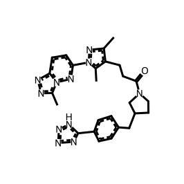 Cc1nn(-c2ccc3nnc(C)n3n2)c(C)c1CCC(=O)N1CCC(Cc2ccc(-c3nnn[nH]3)cc2)C1